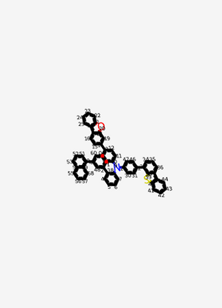 c1cc(-c2ccccc2N(c2ccc(-c3ccc4c(c3)oc3ccccc34)cc2)c2ccc(-c3cccc4c3sc3ccccc34)cc2)cc(-c2cccc3ccccc23)c1